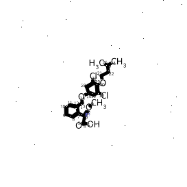 CO/C=C(/C(=O)O)c1ccccc1COc1cc(Cl)c(OCCC(C)C)c(Cl)c1